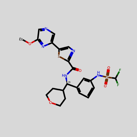 CCOc1cncc(-c2cnc(C(=O)N[C@@H](c3cccc(NS(=O)(=O)C(F)F)c3)C3CCOCC3)s2)n1